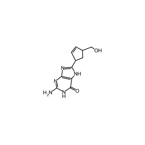 Nc1nc2nc(C3C=CC(CO)C3)[nH]c2c(=O)[nH]1